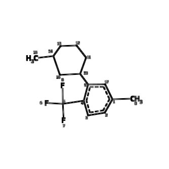 Cc1ccc(C(F)(F)F)c(C2CCCC(C)C2)c1